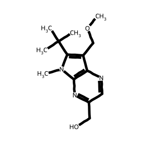 COCc1c(C(C)(C)C)n(C)c2nc(CO)cnc12